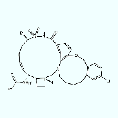 CC[C@@H]1CC/C=C\[C@@H](NC(=O)C(C)C)[C@@H]2CC[C@H]2CN2CCCCc3cc(Cl)ccc3COc3ccc(cc32)C(=O)NS1(=O)=O